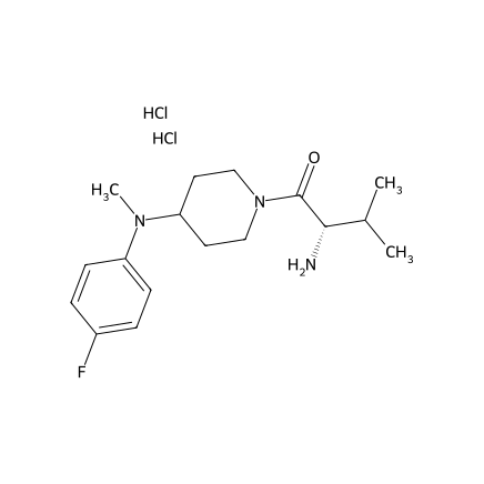 CC(C)[C@H](N)C(=O)N1CCC(N(C)c2ccc(F)cc2)CC1.Cl.Cl